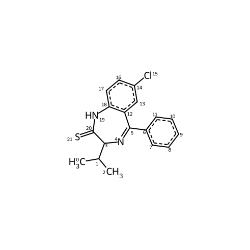 CC(C)C1N=C(c2ccccc2)c2cc(Cl)ccc2NC1=S